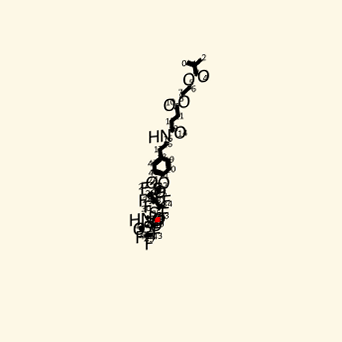 C=C(C)C(=O)OCCOC(=O)CCC(=O)NCCc1ccc(OS(=O)(=O)C(F)(F)C(F)(F)C(F)(F)S(=O)(=O)NS(=O)(=O)C(F)(F)F)cc1